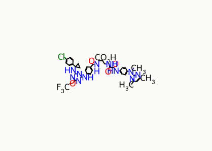 Cc1cc(C)nc(N(C)c2ccc(NC(=O)C(=O)NCC[C@H](NC(=O)c3ccc(Nc4nc(NC5(c6ccc(Cl)cc6)CC5)nc(OCC(F)(F)F)n4)cc3)C(=O)O)cc2)n1